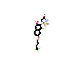 O=C1CN(c2c(O)cc3ccc(OCCCC(F)(F)F)cc3c2F)S(=O)(=O)N1